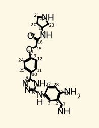 N=Cc1cc(Nc2nnc(-c3ccc(OCC(=O)NC4CCNC4)cc3)[nH]2)ccc1N